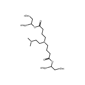 CCCCCCCCCCCC(CCCCCCC)OC(=O)CCCN(CCCC(=O)OC(CCCCCCC)CCCCCCCCCCC)CCN(C)C